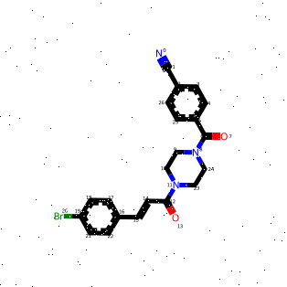 N#Cc1ccc(C(=O)N2CCN(C(=O)C=Cc3ccc(Br)cc3)CC2)cc1